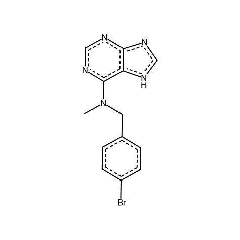 CN(Cc1ccc(Br)cc1)c1ncnc2nc[nH]c12